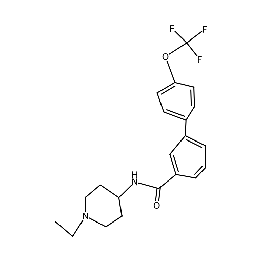 CCN1CCC(NC(=O)c2cccc(-c3ccc(OC(F)(F)F)cc3)c2)CC1